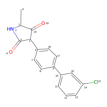 CC1NC(=O)C(c2ccc(-c3cccc(Cl)c3)cc2)C1=O